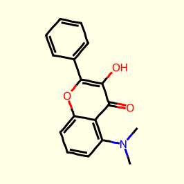 CN(C)c1cccc2oc(-c3ccccc3)c(O)c(=O)c12